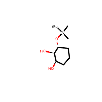 CC(C)(C)[Si](C)(C)O[C@@H]1CCC[C@@H](O)[C@H]1O